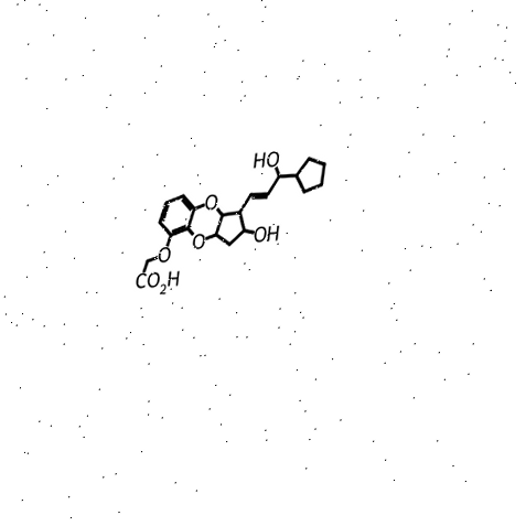 O=C(O)COc1cccc2c1OC1CC(O)C(C=CC(O)C3CCCC3)C1O2